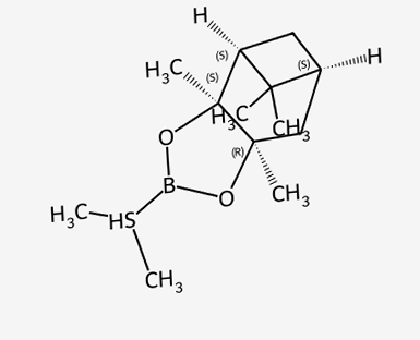 C[SH](C)B1O[C@]2(C)C[C@@H]3C[C@@H](C3(C)C)[C@]2(C)O1